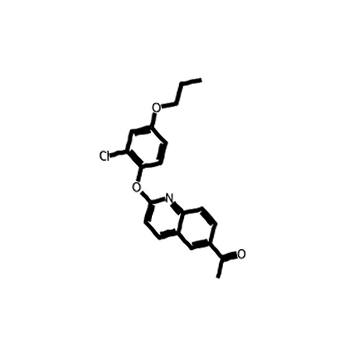 CCCOc1ccc(Oc2ccc3cc(C(C)=O)ccc3n2)c(Cl)c1